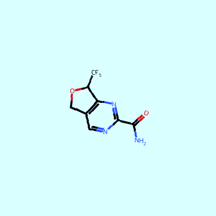 NC(=O)c1ncc2c(n1)C(C(F)(F)F)OC2